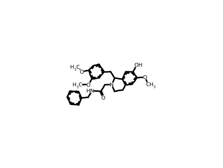 COc1cc2c(cc1O)C(Cc1ccc(OC)c(OC)c1)N(CC(=O)NCc1ccccc1)CC2